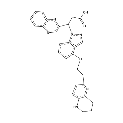 O=C(O)CC(c1cnc2ccccc2n1)n1ncc2c(OCCc3ccc4c(n3)CCCN4)cccc21